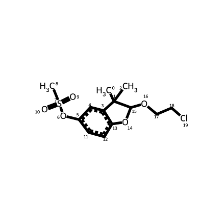 CC1(C)c2cc(OS(C)(=O)=O)ccc2OC1OCCCl